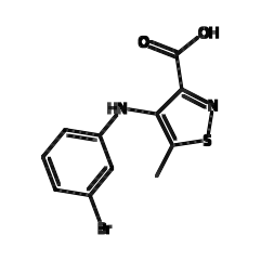 Cc1snc(C(=O)O)c1Nc1cccc(Br)c1